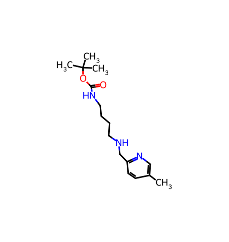 Cc1ccc(CNCCCCNC(=O)OC(C)(C)C)nc1